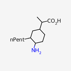 CCCCCC1CC(C(C)C(=O)O)CCC1N